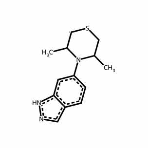 CC1[CH]SCC(C)N1c1ccc2cn[nH]c2c1